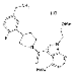 COCCn1cc(C(=O)N2CCC(c3cc(CN)ccc3F)CC2)c2c(OC)cccc21.Cl